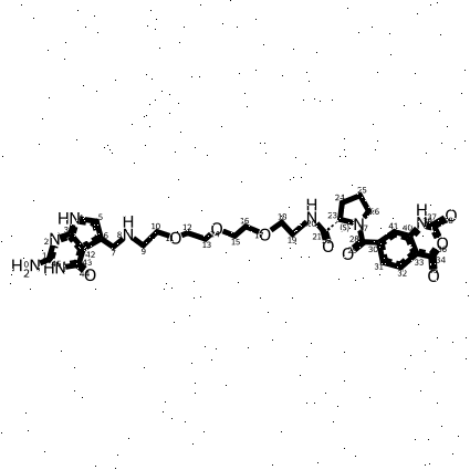 Nc1nc2[nH]cc(CNCCOCCOCCOCCNC(=O)[C@@H]3CCCN3C(=O)c3ccc4c(=O)oc(=O)[nH]c4c3)c2c(=O)[nH]1